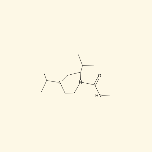 CNC(=O)N1CCN(C(C)C)CC1C(C)C